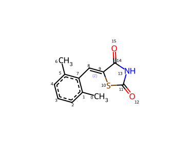 Cc1cccc(C)c1/C=C1\SC(=O)NC1=O